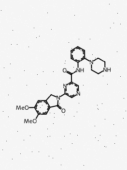 COc1cc2c(cc1OC)C(=O)N(c1cncc(C(=O)Nc3ccccc3N3CCNCC3)n1)C2